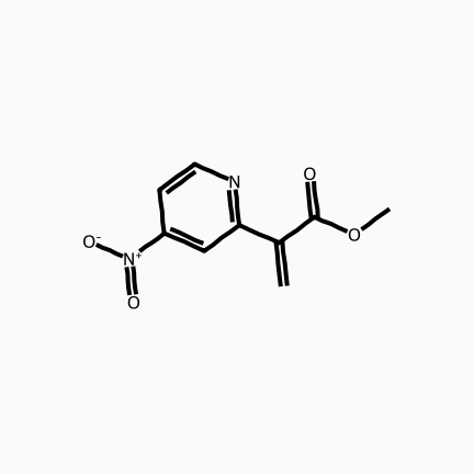 C=C(C(=O)OC)c1cc([N+](=O)[O-])ccn1